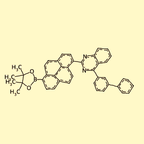 CC1(C)OB(c2ccc3ccc4c(-c5nc(-c6cccc(-c7ccccc7)c6)c6ccccc6n5)ccc5ccc2c3c54)OC1(C)C